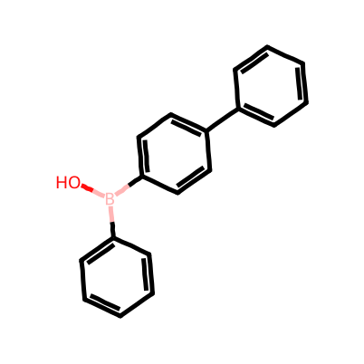 OB(c1ccccc1)c1ccc(-c2ccccc2)cc1